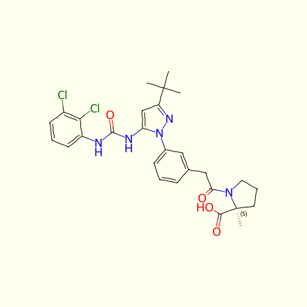 CC(C)(C)c1cc(NC(=O)Nc2cccc(Cl)c2Cl)n(-c2cccc(CC(=O)N3CCC[C@@]3(C)C(=O)O)c2)n1